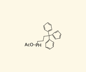 CC(=O)OPCCCC(c1ccccc1)(c1ccccc1)c1ccccc1